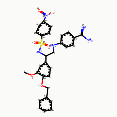 COc1cc(C(CNc2ccc(C(=N)N)cc2)NS(=O)(=O)c2ccc([N+](=O)[O-])cc2)ccc1OCc1ccccc1